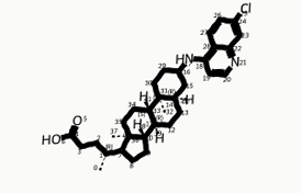 C[C@H](CCC(=O)O)C1CC[C@H]2[C@@H]3CC[C@@H]4CC(Nc5ccnc6cc(Cl)ccc56)CC[C@]4(C)[C@H]3CC[C@]12C